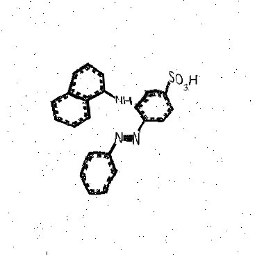 Nc1cccc2ccccc12.O=S(=O)(O)c1ccc(N=Nc2ccccc2)cc1